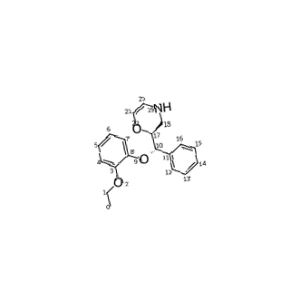 CCOc1ccccc1O[C@@H](c1ccccc1)[C@@H]1CNC=CO1